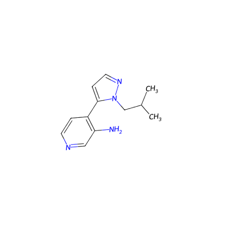 CC(C)Cn1nccc1-c1ccncc1N